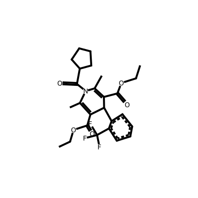 CCOC(=O)C1=C(C)N(C(=O)C2CCCC2)C(C)=C(C(=O)OCC)C1c1ccccc1C(F)(F)F